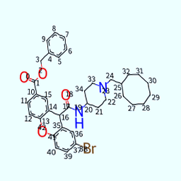 O=C(OCc1ccccc1)c1ccc2c(c1)C(C(=O)NC1CCN(CC3CCCCCCC3)CC1)c1cc(Br)ccc1O2